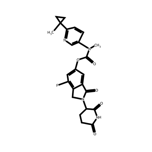 CN(C(=O)Oc1cc(F)c2c(c1)C(=O)N(C1CCC(=O)NC1=O)C2)c1ccc(C2(C)CC2)nc1